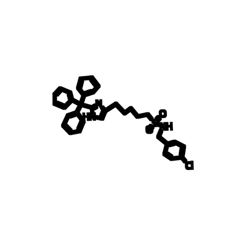 O=S(=O)(CCCCCc1c[nH]c(C(c2ccccc2)(c2ccccc2)c2ccccc2)n1)NCc1ccc(Cl)cc1